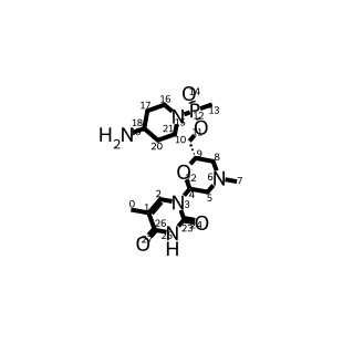 Cc1cn(C2CN(C)C[C@@H](COP(C)(=O)N3CCC(N)CC3)O2)c(=O)[nH]c1=O